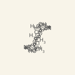 Cc1c(COc2cc(OCc3ccc(-n4cccn4)nc3)c(CNC(C)(CO)CO)cc2Cl)cccc1-c1cccc(COc2cc(OCc3ccc(-n4cccn4)nc3)c(CNC(C)(CO)CO)cc2Cl)c1C